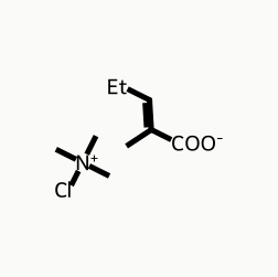 CCC=C(C)C(=O)[O-].C[N+](C)(C)Cl